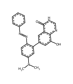 CN(C)c1ccc(/N=N/c2ccccc2)c(-c2cc(O)c3nc[nH]c(=O)c3c2)c1